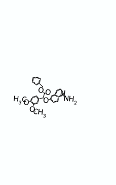 COc1ccc(C(Oc2ccc3c(N)nccc3c2)C(=O)OCc2ccccc2)cc1OC